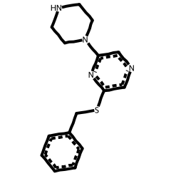 c1ccc(CSc2cncc(N3CCNCC3)n2)cc1